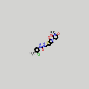 [CH2]N1C(=O)CCC(N2Cc3cc(CNC(=O)Nc4ccc(C)c(Cl)c4)sc3C2=O)C1=O